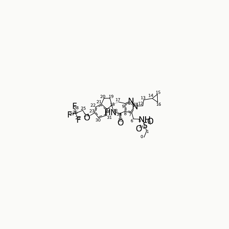 CCS(=O)(=O)NCc1c2c(nn1CCC1CC1)C[C@]1(CCc3cc(OCC(F)(F)F)ccc31)NC2=O